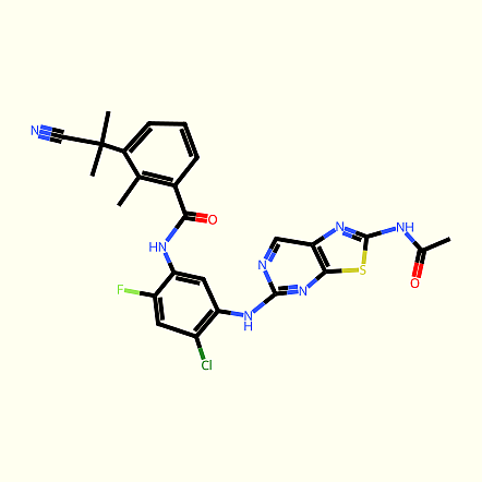 CC(=O)Nc1nc2cnc(Nc3cc(NC(=O)c4cccc(C(C)(C)C#N)c4C)c(F)cc3Cl)nc2s1